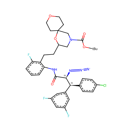 CC(C)(C)OC(=O)N1CC(CCc2c(F)cccc2NC(=O)[C@@H](N=[N+]=[N-])[C@@H](c2ccc(Cl)cc2)c2cc(F)cc(F)c2)OC2(CCOCC2)C1